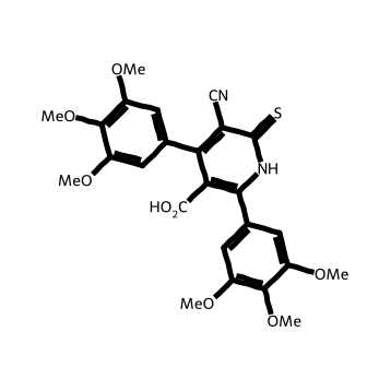 COc1cc(-c2[nH]c(=S)c(C#N)c(-c3cc(OC)c(OC)c(OC)c3)c2C(=O)O)cc(OC)c1OC